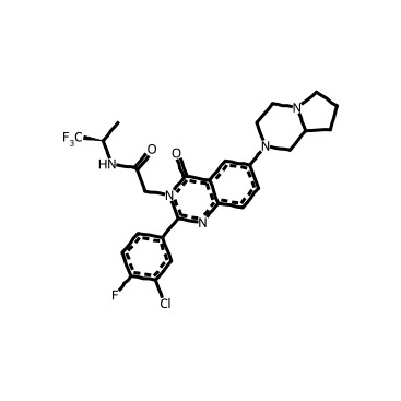 C[C@@H](NC(=O)Cn1c(-c2ccc(F)c(Cl)c2)nc2ccc(N3CCN4CCCC4C3)cc2c1=O)C(F)(F)F